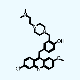 COc1ccc2nc3cc(Cl)ccc3c(Cc3ccc(O)c(CN4CCN(CCN(C)C)CC4)c3)c2c1